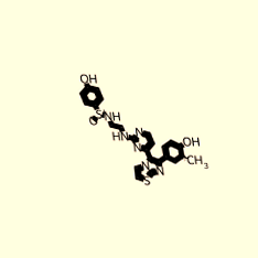 C[C@@H]1CC(c2nc3sccn3c2-c2ccnc(NCCN[S+]([O-])c3ccc(O)cc3)n2)=CC=C1O